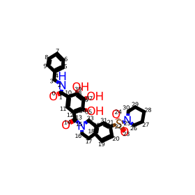 O=C(NCc1ccccc1)c1cc(C(=O)N2CCc3ccc(S(=O)(=O)N4CCCCC4)cc3C2)c(O)c(O)c1O